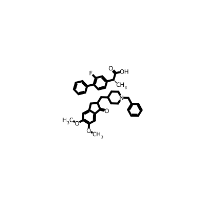 COc1cc2c(cc1OC)C(=O)C(CC1CCN(Cc3ccccc3)CC1)C2.C[C@@H](C(=O)O)c1ccc(-c2ccccc2)c(F)c1